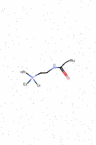 CCC[N+](CC)(CC)CCNC(=O)C(C)CC